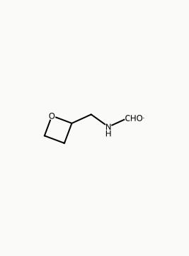 O=[C]NCC1CCO1